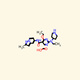 CCOc1nc(N(CC)C2CCNCC2)ncc1C(=O)Nc1ccn2nc(C)cc2c1.O=CO